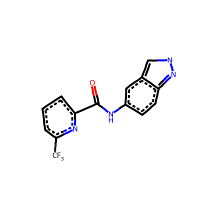 O=C(Nc1ccc2c(c1)=C[N]N=2)c1cccc(C(F)(F)F)n1